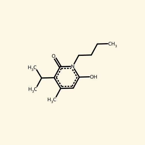 CCCCn1c(O)cc(C)c(C(C)C)c1=O